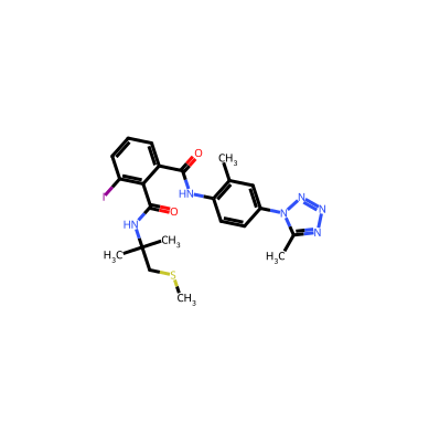 CSCC(C)(C)NC(=O)c1c(I)cccc1C(=O)Nc1ccc(-n2nnnc2C)cc1C